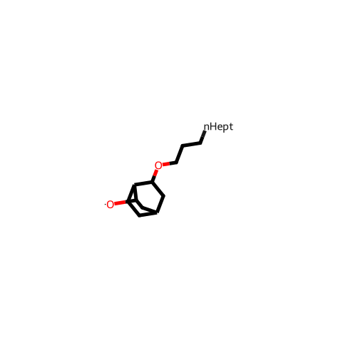 [CH2]CCCCCCCCCOC1CC2CCC1C([O])C2